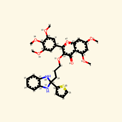 COc1cc(OC)c2c(=O)c(OCCCC3(c4cccs4)Nc4ccccc4N3)c(-c3cc(OC)c(OC)c(OC)c3)oc2c1